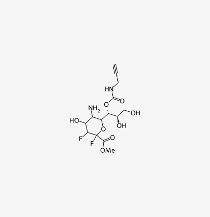 C#CCNC(=O)O[C@@H](C1OC(F)(C(=O)OC)C(F)C(O)C1N)[C@H](O)CO